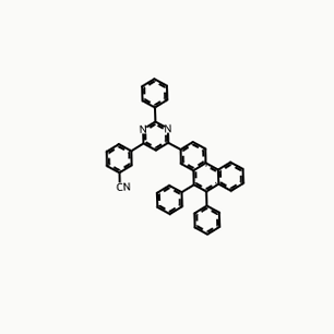 N#Cc1cccc(-c2cc(-c3ccc4c(c3)c(-c3ccccc3)c(-c3ccccc3)c3ccccc34)nc(-c3ccccc3)n2)c1